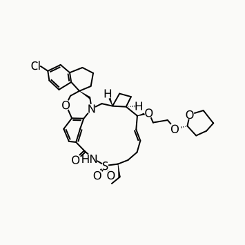 CC[C@@H]1CC/C=C/[C@H](OCCO[C@H]2CCCCO2)[C@@H]2CC[C@H]2CN2C[C@@]3(CCCc4cc(Cl)ccc43)COc3ccc(cc32)C(=O)NS1(=O)=O